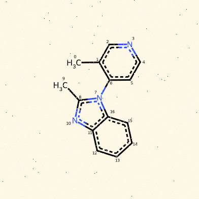 Cc1cnccc1-n1c(C)nc2ccccc21